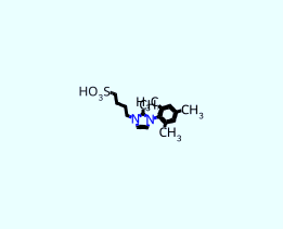 Cc1cc(C)c(N2C=CN(CCCCS(=O)(=O)O)C2C)c(C)c1